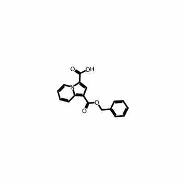 O=C(OCc1ccccc1)c1cc(C(=O)O)n2ccccc12